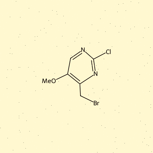 COc1cnc(Cl)nc1CBr